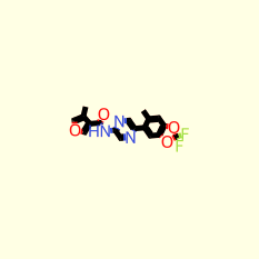 Cc1cocc1C(=O)Nc1cnc(-c2cc3c(cc2C)OC(F)(F)O3)cn1